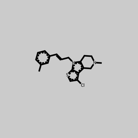 Cc1cccc(/C=C/Cn2c3c(c4c(Cl)csc42)CN(C)CC3)c1